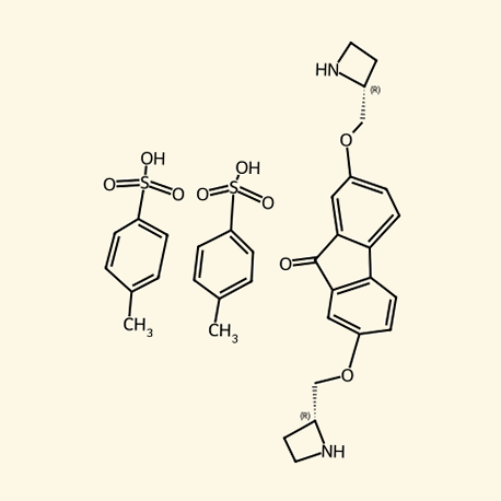 Cc1ccc(S(=O)(=O)O)cc1.Cc1ccc(S(=O)(=O)O)cc1.O=C1c2cc(OC[C@H]3CCN3)ccc2-c2ccc(OC[C@H]3CCN3)cc21